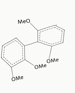 COc1[c]ccc(OC)c1-c1cccc(OC)c1OC